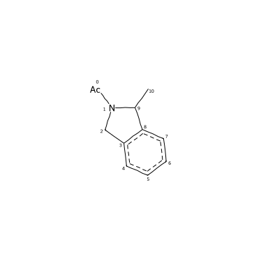 CC(=O)N1Cc2ccccc2C1C